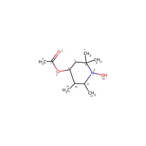 CC(=O)OC1CC(C)(C)N(O)C(C)C1C